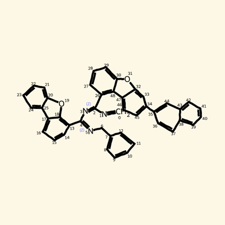 C=N/C(=N\C(=N/Cc1ccccc1)c1cccc2c1oc1ccccc12)c1cccc2oc3cc(-c4ccc5ccccc5c4)ccc3c12